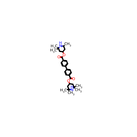 CC1CC(OC(=O)c2ccc(-c3ccc(C(=O)OC4CC(C)(C)NC(C)(C)C4)cc3)cc2)CC(C)(C)N1